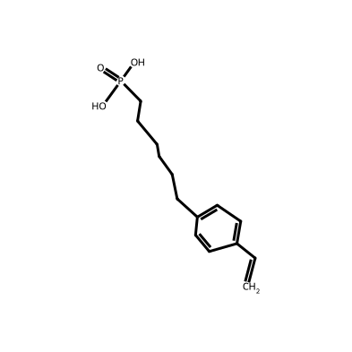 C=Cc1ccc(CCCCCCP(=O)(O)O)cc1